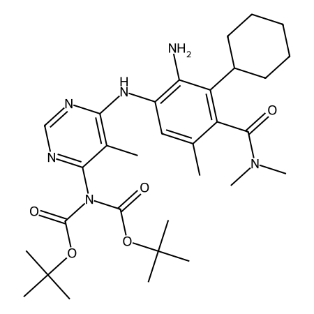 Cc1cc(Nc2ncnc(N(C(=O)OC(C)(C)C)C(=O)OC(C)(C)C)c2C)c(N)c(C2CCCCC2)c1C(=O)N(C)C